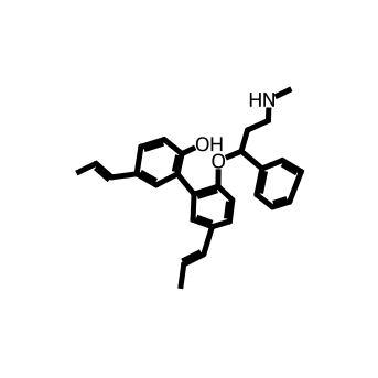 CC=Cc1ccc(O)c(-c2cc(C=CC)ccc2OC(CCNC)c2ccccc2)c1